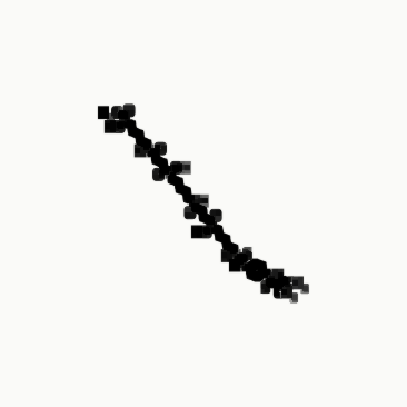 CCC(C)C(=S)Nc1ccc(NC(=S)NCCCCCN(O)C(=O)CCC(=O)NCCCCCN(O)C(=O)CCC(=O)NCCCCCN(O)C(C)=O)cc1